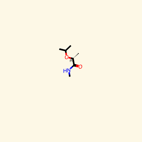 CNC(=O)[C@@H](C)OC(C)C